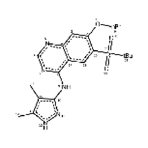 CCCOc1cc2ncnc(Nc3n[nH]c(C)c3C)c2cc1S(=O)(=O)C(C)(C)C